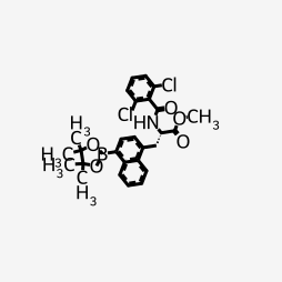 COC(=O)[C@H](Cc1ccc(B2OC(C)(C)C(C)(C)O2)c2ccccc12)NC(=O)c1c(Cl)cccc1Cl